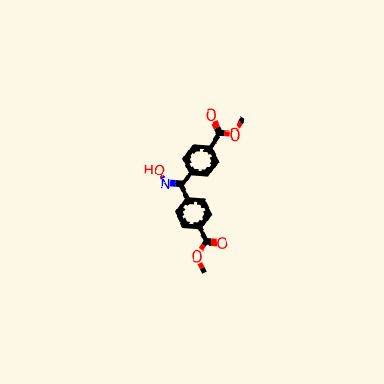 COC(=O)c1ccc(C(=NO)c2ccc(C(=O)OC)cc2)cc1